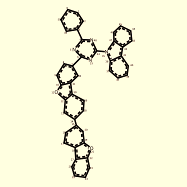 c1ccc(-c2nc(-c3ccc4oc5cc(-c6ccc7c(c6)oc6ccccc67)ccc5c4c3)nc(-n3c4ccccc4c4ccccc43)n2)cc1